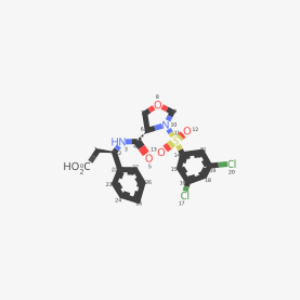 O=C(O)C[C@@H](NC(=O)[C@@H]1COCN1S(=O)(=O)c1cc(Cl)cc(Cl)c1)c1ccccc1